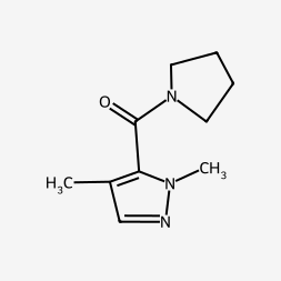 Cc1cnn(C)c1C(=O)N1CCCC1